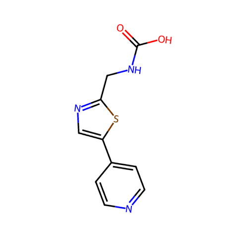 O=C(O)NCc1ncc(-c2ccncc2)s1